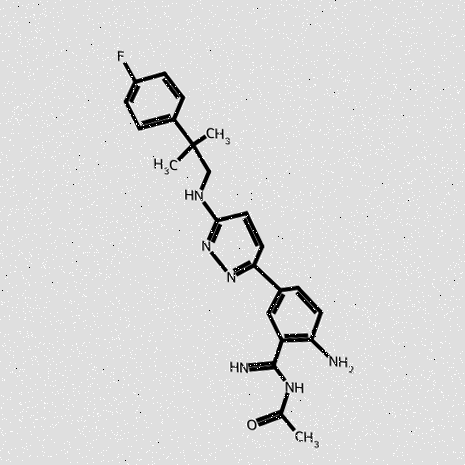 CC(=O)NC(=N)c1cc(-c2ccc(NCC(C)(C)c3ccc(F)cc3)nn2)ccc1N